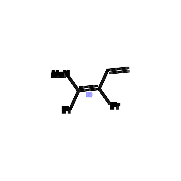 C=C/C(=C(\NC)C(C)C)C(C)C